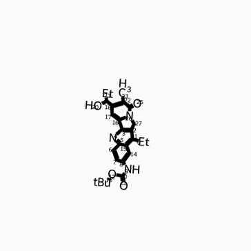 CCc1c2c(nc3ccc(NC(=O)OC(C)(C)C)cc13)-c1cc(C(O)CC)c(C)c(=O)n1C2